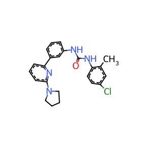 Cc1cc(Cl)ccc1NC(=O)Nc1cccc(-c2cccc(N3CCCC3)n2)c1